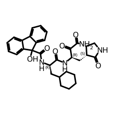 NC(=O)C(=O)[C@@H](C[C@@H]1CCNC1=O)NC(=O)[C@@H](CC1CCCCC1)NC(=O)C1(O)c2ccccc2-c2ccccc21